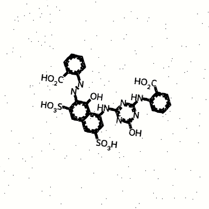 O=C(O)c1ccccc1N=Nc1c(S(=O)(=O)O)cc2cc(S(=O)(=O)O)cc(Nc3nc(O)nc(Nc4ccccc4C(=O)O)n3)c2c1O